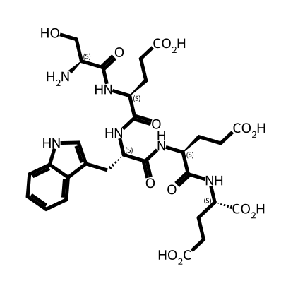 N[C@@H](CO)C(=O)N[C@@H](CCC(=O)O)C(=O)N[C@@H](Cc1c[nH]c2ccccc12)C(=O)N[C@@H](CCC(=O)O)C(=O)N[C@@H](CCC(=O)O)C(=O)O